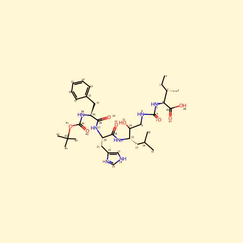 CC[C@H](C)[C@H](NC(=O)NCC(O)[C@H](CC(C)C)NC(=O)[C@H](Cc1c[nH]cn1)NC(=O)[C@H](Cc1ccccc1)NC(=O)OC(C)(C)C)C(=O)O